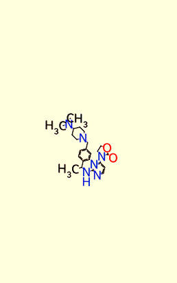 CC(Nc1nccc(N2CCOC2=O)n1)c1ccc(CN2CCC(N(C)C)CC2)cc1